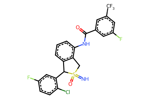 N=S1(=O)Cc2c(NC(=O)c3cc(F)cc(C(F)(F)F)c3)cccc2C1c1cc(F)ccc1Cl